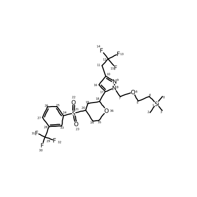 C[Si](C)(C)CCOCn1nc(CC(F)(F)F)cc1C1CC(S(=O)(=O)c2cccc(C(F)(F)F)c2)CCO1